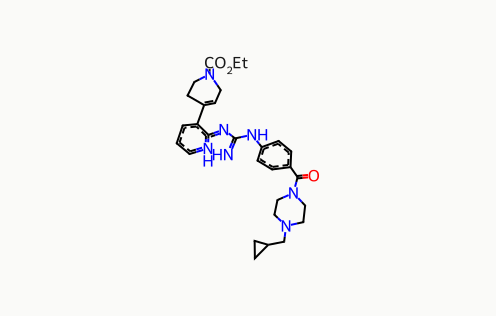 CCOC(=O)N1CC=C(c2ccc[nH]/c2=N\C(=N)Nc2ccc(C(=O)N3CCN(CC4CC4)CC3)cc2)CC1